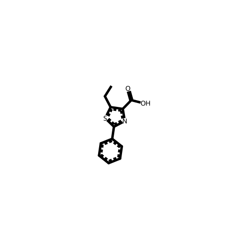 CCc1sc(-c2ccccc2)nc1C(=O)O